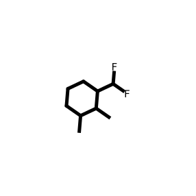 CC1CCCC(C(F)F)C1C